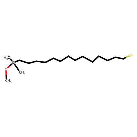 CO[Si](C)(C)CCCCCCCCCCCCCCS